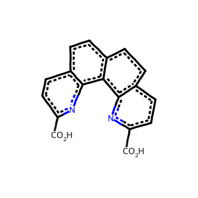 O=C(O)c1ccc2ccc3ccc4ccc(C(=O)O)nc4c3c2n1